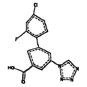 O=C(O)c1cc(-c2ccc(Cl)cc2F)cc(-n2cnnn2)c1